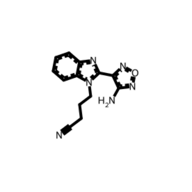 N#CCCCn1c(-c2nonc2N)nc2ccccc21